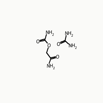 NC(=O)COC(N)=O.NC(N)=O